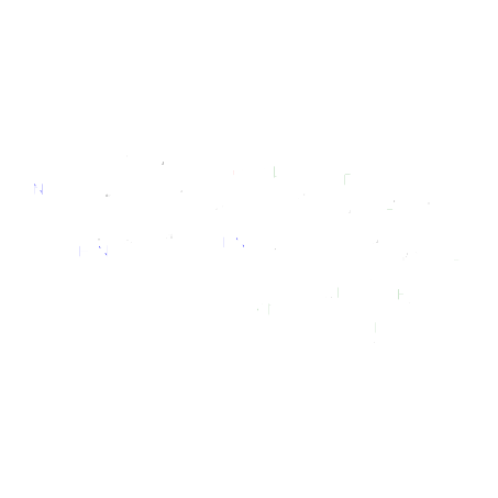 N#Cc1ccc(C(=O)Nc2c(Cl)cc(C(F)(C(F)(F)F)C(F)(F)F)c(F)c2Cl)cc1N